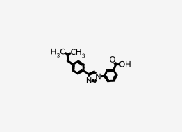 CC(C)Cc1ccc(-c2cn(-c3cccc(C(=O)O)c3)cn2)cc1